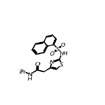 CC(C)NC(=O)Cc1csc(NS(=O)(=O)c2cccc3ccccc23)n1